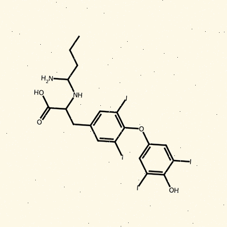 CCCC(N)NC(Cc1cc(I)c(Oc2cc(I)c(O)c(I)c2)c(I)c1)C(=O)O